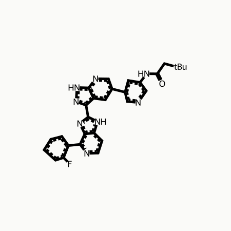 CC(C)(C)CC(=O)Nc1cncc(-c2cnc3[nH]nc(-c4nc5c(-c6ccccc6F)nccc5[nH]4)c3c2)c1